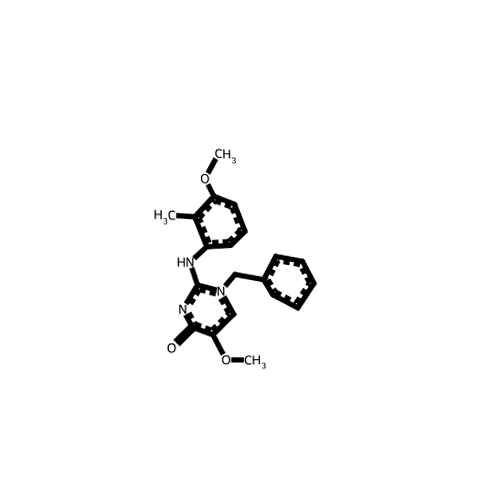 COc1cccc(Nc2nc(=O)c(OC)cn2Cc2ccccc2)c1C